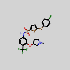 CN1CCC(Oc2cc(NS(=O)(=O)c3ccc(Sc4ccc(F)cc4)s3)ccc2C(F)(F)F)C1